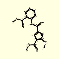 COC(=O)c1ccccc1NC(=O)c1cc(OC)c(C(=O)OC)s1